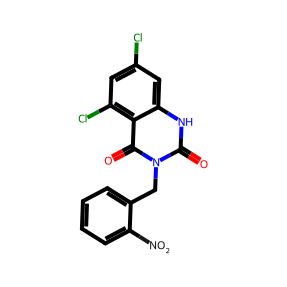 O=c1[nH]c2cc(Cl)cc(Cl)c2c(=O)n1Cc1ccccc1[N+](=O)[O-]